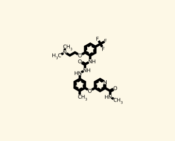 CNC(=O)c1cc(Oc2cc(NNC(=O)Nc3cc(C(F)(F)F)ccc3OCCN(C)C)ccc2C)ccn1